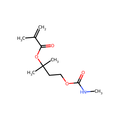 C=C(C)C(=O)OC(C)(C)CCOC(=O)NC